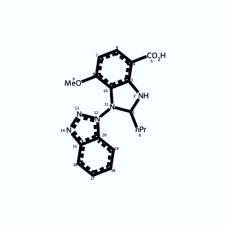 CCCC1Nc2c(C(=O)O)ccc(OC)c2N1n1nnc2ccccc21